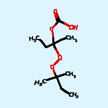 CCC(C)(C)OOC(C)(CC)OC(=O)O